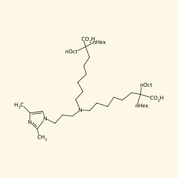 CCCCCCCCC(CCCCCC)(CCCCCCN(CCCCCCC(CCCCCC)(CCCCCCCC)C(=O)O)CCCn1cc(C)nc1C)C(=O)O